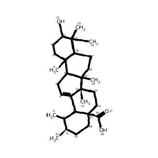 CC1C2C3=CCC4C5(C)CCC(O)C(C)(C)C5CCC4(C)[C@]3(C)CCC2(C(=O)O)CC[C@H]1C